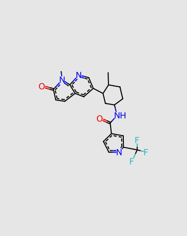 CC1CCC(NC(=O)c2ccnc(C(F)(F)F)c2)CC1c1cnc2c(ccc(=O)n2C)c1